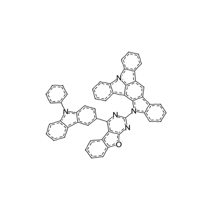 c1ccc(-n2c3ccccc3c3cc(-c4nc(-n5c6ccccc6c6cc7c8ccccc8n8c9ccccc9c(c65)c78)nc5oc6ccccc6c45)ccc32)cc1